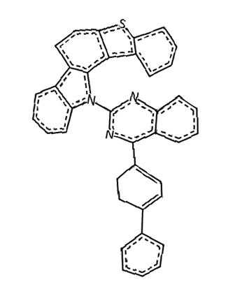 C1=C(c2ccccc2)CCC(c2nc(-n3c4ccccc4c4ccc5sc6ccccc6c5c43)nc3ccccc23)=C1